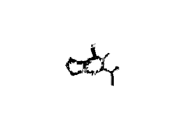 CC(C)c1nn2cccc2c(=O)n1C